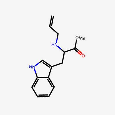 C=CCNC(Cc1c[nH]c2ccccc12)C(=O)OC